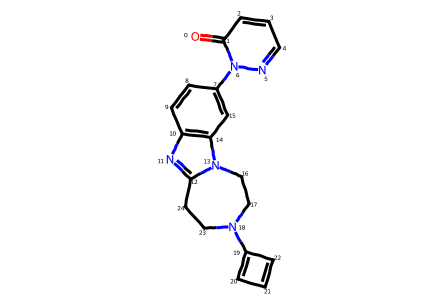 O=c1cccnn1-c1ccc2nc3n(c2c1)CCN(C1=CC=C1)CC3